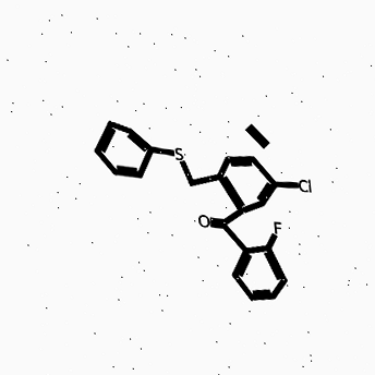 C=C.O=C(c1ccccc1F)c1cc(Cl)ccc1CSc1ccccc1